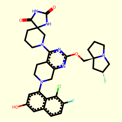 O=C1NC(=O)C2(CCCN(c3nc(OC[C@@]45CCCN4C[C@H](F)C5)nc4c3CCN(c3cc(O)cc5ccc(F)c(Cl)c35)C4)C2)N1